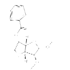 CO[C@H]1O[C@@H]2[C@@H](OC[C@@H]2OC(=O)c2ccccc2)[C@@H]1OC